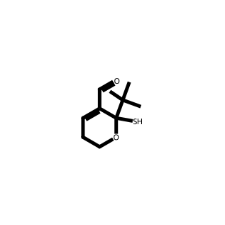 CC(C)(C)C1(S)OCCC=C1C=O